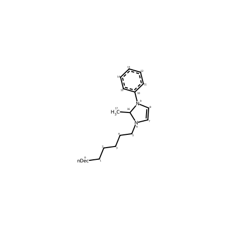 CCCCCCCCCCCCCCCN1C=CN(c2ccccc2)C1C